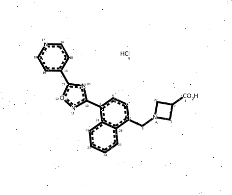 Cl.O=C(O)C1CN(Cc2ccc(-c3noc(-c4ccncc4)n3)c3ccccc23)C1